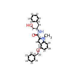 Cn1c(C(=O)N[C@@H](CO)Cc2ccccc2)cc2c(OCc3ccccc3)cccc21